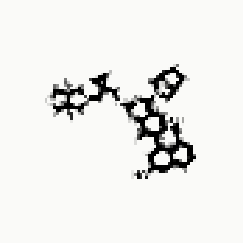 C#Cc1cccc2cc(O)cc(-c3ccc4c(N5CC6CCC(C5)N6)nc(OCC5(CN6C[C@H]7COC[C@H]7C6)CC5)nc4c3F)c12